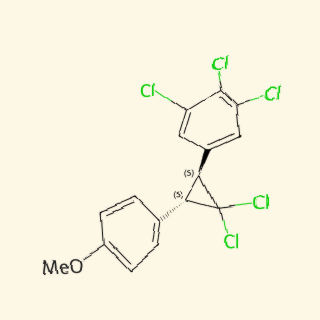 COc1ccc([C@@H]2[C@@H](c3cc(Cl)c(Cl)c(Cl)c3)C2(Cl)Cl)cc1